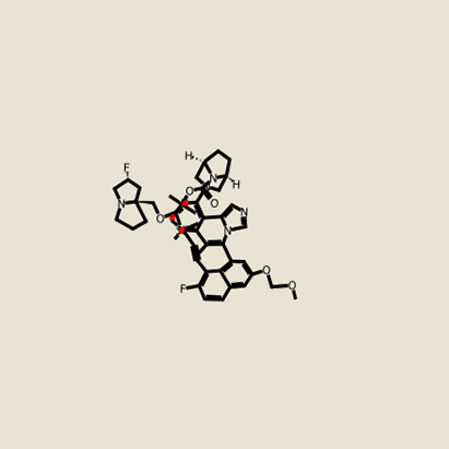 COCOc1cc(-c2c(F)c3nc(OC[C@@]45CCCN4C[C@H](F)C5)nc(N4C[C@H]5CC[C@@H](C4)N5C(=O)OC(C)(C)C)c3c3cncn23)c2c(C#C[Si](C)(C)C)c(F)ccc2c1